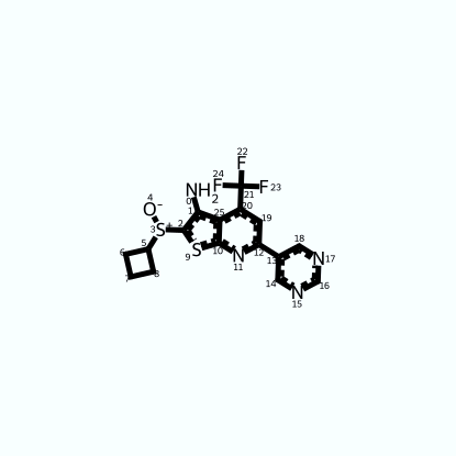 Nc1c([S+]([O-])C2CCC2)sc2nc(-c3cncnc3)cc(C(F)(F)F)c12